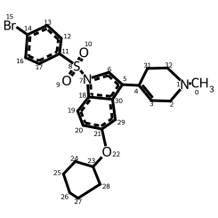 CN1CC=C(c2cn(S(=O)(=O)c3ccc(Br)cc3)c3ccc(OC4CCCCC4)cc23)CC1